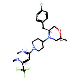 C=N/C(=C\C(=N/C)N1CCC(N2C[C@H](C)OC[C@@H]2Cc2ccc(Cl)cc2)CC1)C(F)(F)F